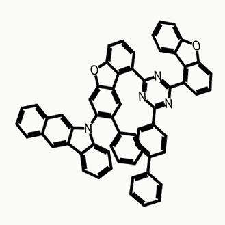 c1ccc(-c2ccc(-c3nc(-c4cccc5oc6ccccc6c45)nc(-c4cccc5oc6cc(-n7c8ccccc8c8cc9ccccc9cc87)c(-c7ccccc7)cc6c45)n3)cc2)cc1